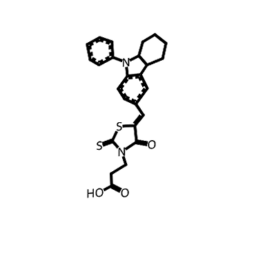 O=C(O)CCN1C(=O)/C(=C/c2ccc3c(c2)C2CCCCC2N3c2ccccc2)SC1=S